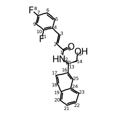 O=C(C=Cc1ccc(F)cc1F)N[C@@H](CO)c1ccc2ccccc2c1